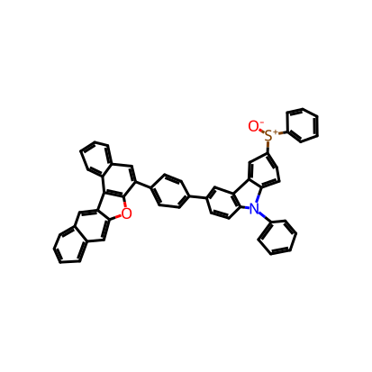 [O-][S+](c1ccccc1)c1ccc2c(c1)c1cc(-c3ccc(-c4cc5ccccc5c5c4oc4cc6ccccc6cc45)cc3)ccc1n2-c1ccccc1